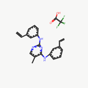 C=Cc1cccc(Nc2ncc(C)c(Nc3cccc(C=C)c3)n2)c1.O=C(O)C(F)(F)F